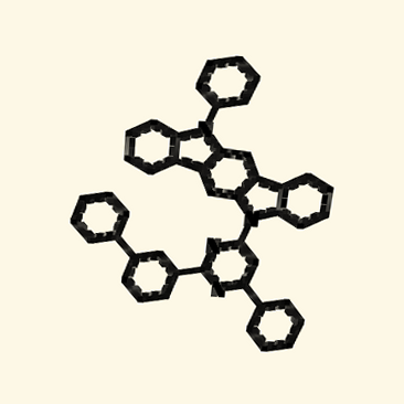 c1ccc(-c2cccc(-c3nc(-c4ccccc4)cc(-n4c5ccccc5c5cc6c(cc54)c4ccccc4n6-c4ccccc4)n3)c2)cc1